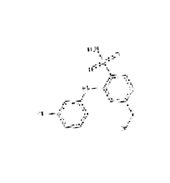 NS(=O)(=O)c1ccc(CBr)cc1Nc1cccc(Cl)c1